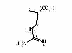 C[C@@H](CNC(=N)N)C(=O)O